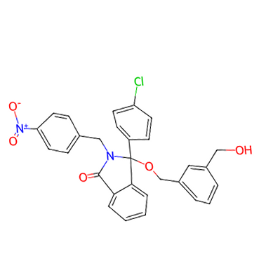 O=C1c2ccccc2C(OCc2cccc(CO)c2)(c2ccc(Cl)cc2)N1Cc1ccc([N+](=O)[O-])cc1